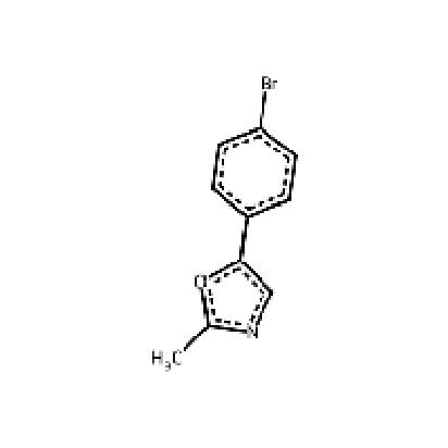 Cc1ncc(-c2ccc(Br)cc2)o1